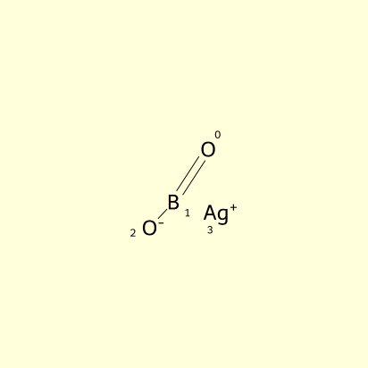 O=B[O-].[Ag+]